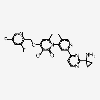 Cc1cnc(-c2ccnc(C3(N)CC3)n2)cc1-n1c(C)cc(OCc2ncc(F)cc2F)c(Cl)c1=O